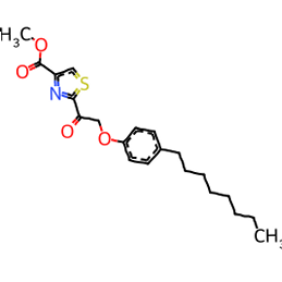 CCCCCCCCc1ccc(OCC(=O)c2nc(C(=O)OC)cs2)cc1